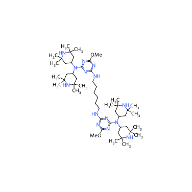 COc1nc(NCCCCCCNc2nc(OC)nc(N(C3CC(C)(C)NC(C)(C)C3)C3CC(C)(C)NC(C)(C)C3)n2)nc(N(C2CC(C)(C)NC(C)(C)C2)C2CC(C)(C)NC(C)(C)C2)n1